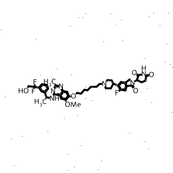 COc1cc2c(N[C@H](C)c3cccc(C(F)(F)CO)c3)nc(C)nc2cc1OCCCCCCCN1CCC(c2cc3c(cc2F)C(=O)N(C2CCC(=O)NC2=O)C3)CC1